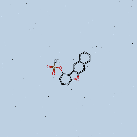 O=S(=O)(Oc1cccc2oc3cc4ccccc4cc3c12)C(F)(F)F